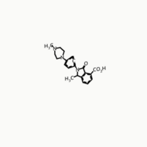 CC1c2cccc(C(=O)O)c2C(=O)N1c1ccc(N2CCN(C)CC2)cc1